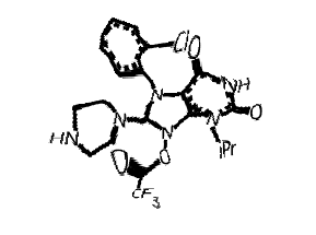 CC(C)n1c2c(c(=O)[nH]c1=O)N(c1ccccc1Cl)C(N1CCNCC1)N2OC(=O)C(F)(F)F